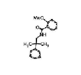 COc1ccccc1C(=O)NCC(C)(C)c1ccccc1